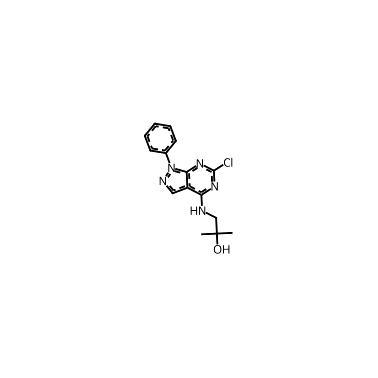 CC(C)(O)CNc1nc(Cl)nc2c1cnn2-c1ccccc1